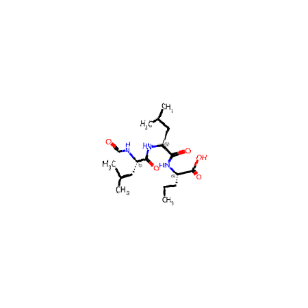 CCC[C@H](NC(=O)[C@H](CC(C)C)NC(=O)[C@H](CC(C)C)NC=O)C(=O)O